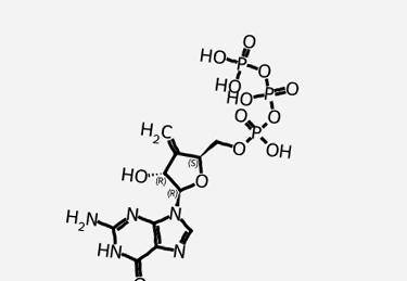 C=C1[C@@H](O)[C@H](n2cnc3c(=O)[nH]c(N)nc32)O[C@@H]1COP(=O)(O)OP(=O)(O)OP(=O)(O)O